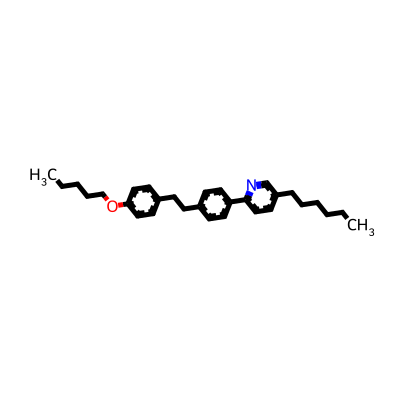 CCCCCCc1ccc(-c2ccc(CCc3ccc(OCCCCC)cc3)cc2)nc1